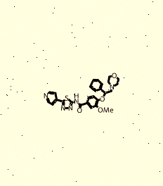 COc1cc(C(=O)Nc2nnc(-c3ccncc3)s2)ccc1OC(CN1CCOCC1)c1ccccc1